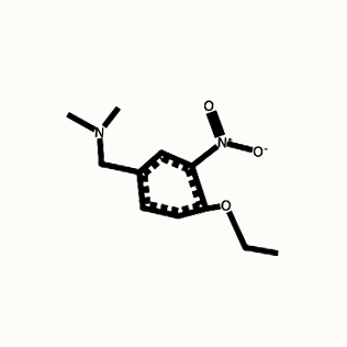 CCOc1ccc(CN(C)C)cc1[N+](=O)[O-]